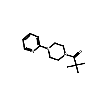 CC(C)(C)C(=O)N1CCN(c2ccccn2)CC1